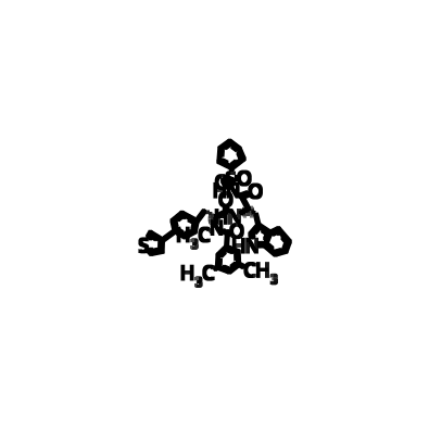 Cc1cc(C)cc(C(=O)N(C)[C@H](Cc2ccc(-c3ccsc3)cc2)C(=O)N[C@@H](Cc2c[nH]c3ccccc23)C(=O)NS(=O)(=O)c2ccccc2)c1